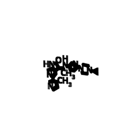 C/C(Nc1ccc(N2CCN(C3CC3)CC2)nc1)=C1/C(=O)Nc2cnc(-c3cnccc3C)cc21